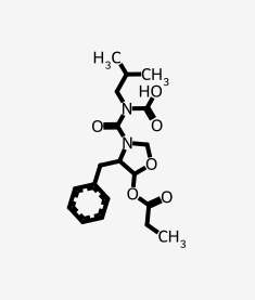 CCC(=O)OC1OCN(C(=O)N(CC(C)C)C(=O)O)C1Cc1ccccc1